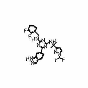 CC(C)(Nc1nc(NCc2cccc(F)c2F)nc(-c2ccc3cn[nH]c3c2)n1)c1ccn(C(F)F)n1